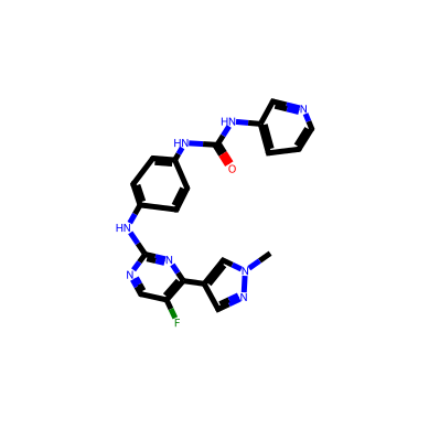 Cn1cc(-c2nc(Nc3ccc(NC(=O)Nc4cccnc4)cc3)ncc2F)cn1